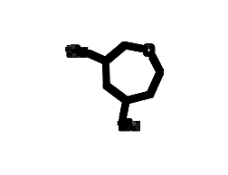 CC(C)(C)C1CCOCC(C(C)(C)C)C1